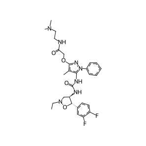 CCN1C[C@@H](NC(=O)Nc2c(C)c(OCC(=O)NCCN(C)C)nn2-c2ccccc2)[C@H](c2ccc(F)c(F)c2)O1